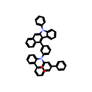 c1ccc(-c2cccc(N(c3cccc(-c4c5ccccc5cc5c4c4ccccc4n5-c4ccccc4)c3)c3ccccc3-c3ccccc3)c2)cc1